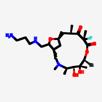 CC[C@H]1OC(=O)[C@@](C)(F)C(=O)[C@H](C)C[C@@]2(C)C[C@H](CN(C)[C@H](C)[C@@H](O)[C@]1(C)O)C(CNCCCN)O2